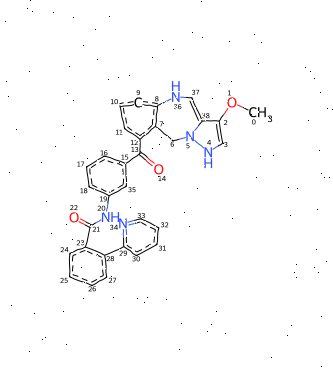 COC1=CNN2Cc3c(cccc3C(=O)c3cccc(NC(=O)c4ccccc4-c4ccccn4)c3)NC=C12